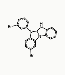 Brc1cccc(N2c3ccc(Br)cc3N3c4ccccc4NC23)c1